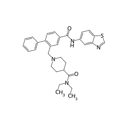 CCN(CC)C(=O)C1CCN(Cc2cc(C(=O)Nc3ccc4scnc4c3)ccc2-c2ccccc2)CC1